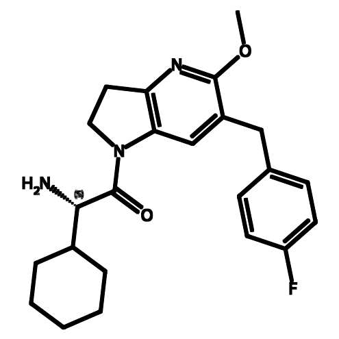 COc1nc2c(cc1Cc1ccc(F)cc1)N(C(=O)[C@@H](N)C1CCCCC1)CC2